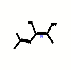 CCC/C(C)=C(\CC)N=C(C)C